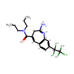 CCCN(CCC)C(=O)C1=Cc2ccc(C(F)(F)C(F)(F)F)cc2N=C(N)C1